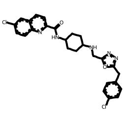 O=C(NC1CCC(NCc2nnc(Cc3ccc(Cl)cc3)o2)CC1)c1ccc2cc(Cl)ccc2n1